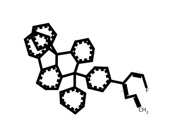 C=C/C=C(\C=C/F)c1ccc(C2(c3ccccc3)c3ccccc3C3(c4ccccc4)c4ccccc4-c4cccc2c43)cc1